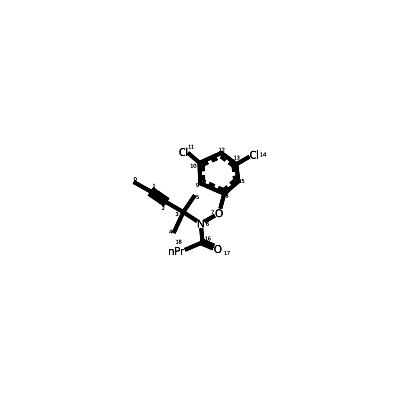 CC#CC(C)(C)N(Oc1cc(Cl)cc(Cl)c1)C(=O)CCC